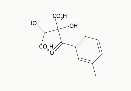 Cc1cccc(C(=O)C(O)(C(=O)O)C(O)C(=O)O)c1